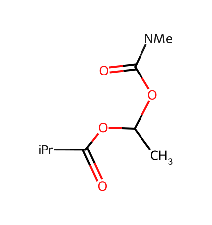 [CH2]NC(=O)OC(C)OC(=O)C(C)C